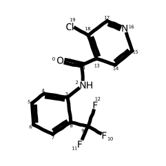 O=C(Nc1ccccc1C(F)(F)F)c1ccncc1Cl